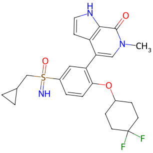 Cn1cc(-c2cc(S(=N)(=O)CC3CC3)ccc2OC2CCC(F)(F)CC2)c2cc[nH]c2c1=O